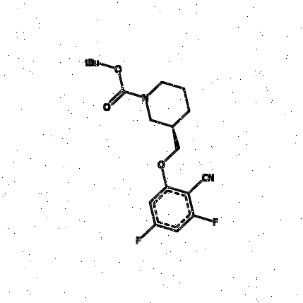 CC(C)(C)OC(=O)N1CCC[C@@H](COc2cc(F)cc(F)c2C#N)C1